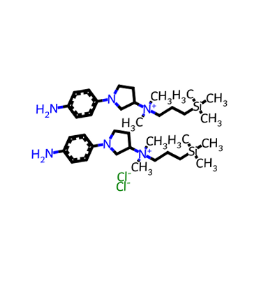 C[N+](C)(CCC[Si](C)(C)C)C1CCN(c2ccc(N)cc2)C1.C[N+](C)(CCC[Si](C)(C)C)C1CCN(c2ccc(N)cc2)C1.[Cl-].[Cl-]